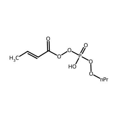 CC=CC(=O)OOP(=O)(O)OOCCC